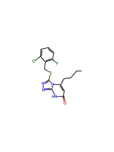 CCCCc1cc(=O)[nH]c2nnc(SCc3c(F)cccc3Cl)n12